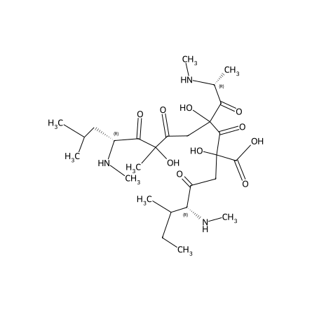 CCC(C)[C@@H](NC)C(=O)CC(O)(C(=O)O)C(=O)C(O)(CC(=O)C(C)(O)C(=O)[C@@H](CC(C)C)NC)C(=O)[C@@H](C)NC